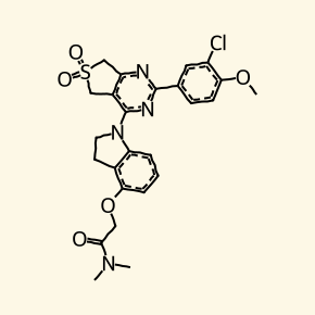 COc1ccc(-c2nc3c(c(N4CCc5c(OCC(=O)N(C)C)cccc54)n2)CS(=O)(=O)C3)cc1Cl